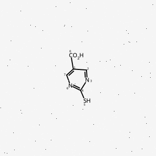 O=C(O)c1cnc(S)nc1